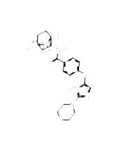 O=C(N[C@@H]1C[C@H]2CC[C@@H]1N2)c1ccc(Sc2cnc(N3CCOCC3)[nH]2)cc1